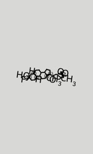 C[C@]12CCC3C(CC[C@@H]4C[C@@](O)(CF)CC[C@H]34)C1CC[C@@H]2C(=O)CSS(C)(=O)=O